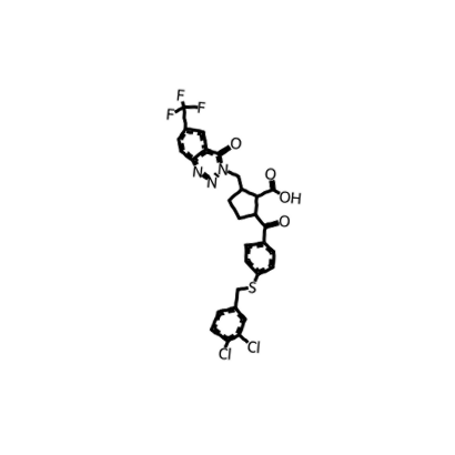 O=C(c1ccc(SCc2ccc(Cl)c(Cl)c2)cc1)C1CCC(Cn2nnc3ccc(C(F)(F)F)cc3c2=O)C1C(=O)O